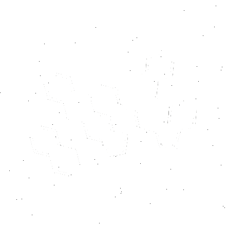 Fc1ccccc1Nc1cccc2c1C(c1nc3n4c(nc(-n5cnc6cccc(Nc7ccccc7F)c65)c5ccc1c54)=NCN3)CC=N2